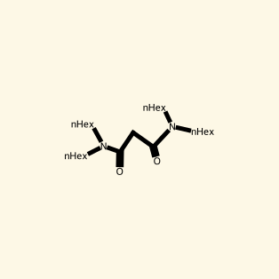 CCCCCCN(CCCCCC)C(=O)CC(=O)N(CCCCCC)CCCCCC